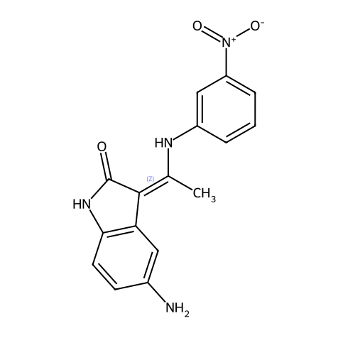 C/C(Nc1cccc([N+](=O)[O-])c1)=C1/C(=O)Nc2ccc(N)cc21